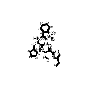 CCc1coc(C(=O)[C@H](CC)NC(=O)[C@H](CC2CCCC2)NC2=NS(=O)(=O)c3ccccc32)n1